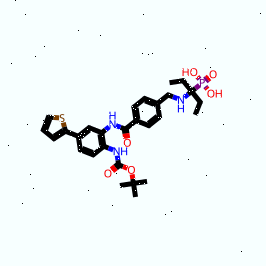 CCC(CC)(NCc1ccc(C(=O)Nc2cc(-c3cccs3)ccc2NC(=O)OC(C)(C)C)cc1)P(=O)(O)O